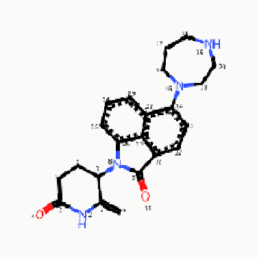 C=C1NC(=O)CCC1N1C(=O)c2ccc(N3CCCNCC3)c3cccc1c23